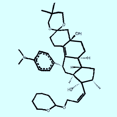 C[C@H]1C[C@H]2[C@@H]3CC[C@@]4(O)CC5(CCC4=C3[C@@H](c3ccc(N(C)C)cc3)C[C@]2(C)[C@]1(O)/C=C\COC1CCCCO1)OCC(C)(C)CO5